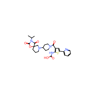 CC(C)N1C(=O)OC2(CCCN(C3CCN(C(=O)c4cc(-c5ccccn5)sc4NC(=O)O)CC3)C2)C1=O